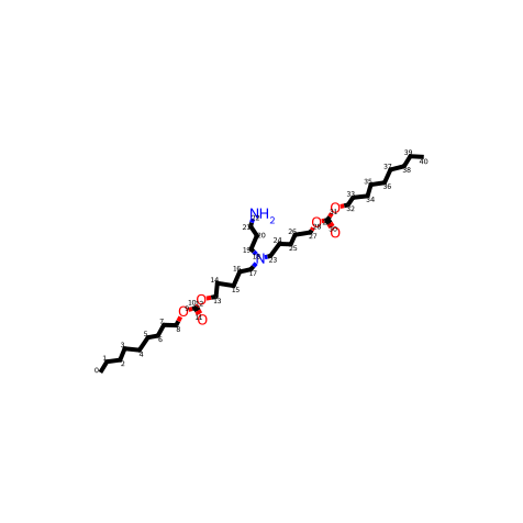 CCCCCCCCCOC(=O)OCCCCCN(CCCN)CCCCCOC(=O)OCCCCCCCCC